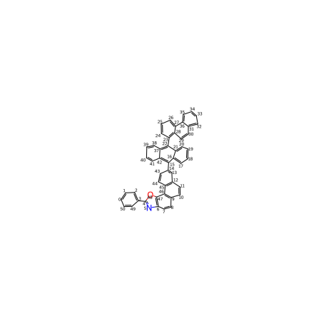 c1ccc(-c2nc3ccc4ccc5cc(-c6c7ccccc7c(-c7cccc8c7ccc7ccccc78)c7ccccc67)ccc5c4c3o2)cc1